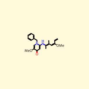 C=C/C(=C\C(C)=C(/C)Nc1cc(=O)c(OC)cn1Cc1ccccc1)OC